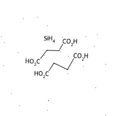 O=C(O)CCC(=O)O.O=C(O)CCC(=O)O.[SiH4]